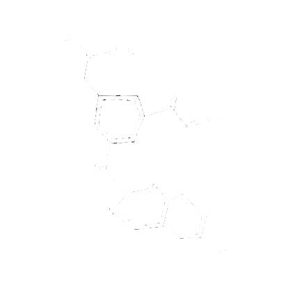 CN(C)Cc1cc(NC=O)cc(Nc2ncc3cc(Br)ccc3n2)c1